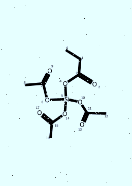 CCC(=O)O[Si](OC(C)=O)(OC(C)=O)OC(C)=O